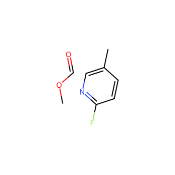 COC=O.Cc1ccc(F)nc1